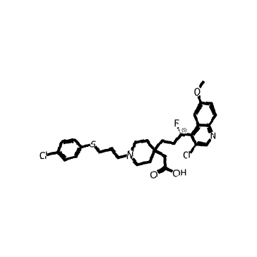 COc1ccc2ncc(Cl)c([C@@H](F)CCC3(CC(=O)O)CCN(CCCSc4ccc(Cl)cc4)CC3)c2c1